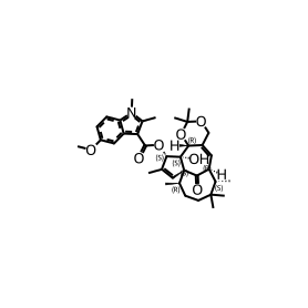 COc1ccc2c(c1)c(C(=O)O[C@H]1C(C)=C[C@]34C(=O)[C@@H](C=C5COC(C)(C)O[C@H]5[C@]13O)[C@H](C)C(C)(C)CC[C@H]4C)c(C)n2C